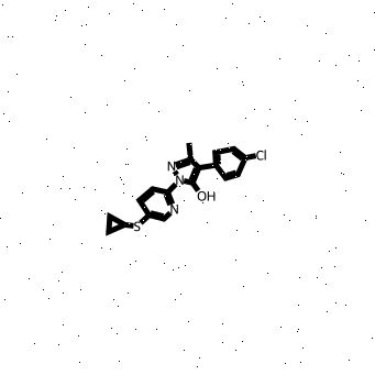 Cc1nn(-c2ccc(SC3CC3)cn2)c(O)c1-c1ccc(Cl)cc1